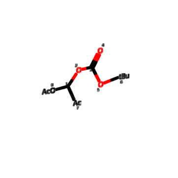 CC(=O)OC(OC(=O)OC(C)(C)C)C(C)=O